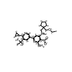 CCOCC1(CN(C)c2cc(-c3cnc(C4CC4)c(C(F)(F)F)c3)nc(N)c2[N+](=O)[O-])CCCC1